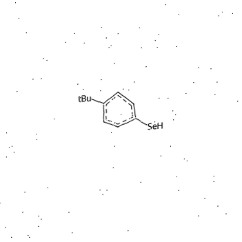 CC(C)(C)c1ccc([SeH])cc1